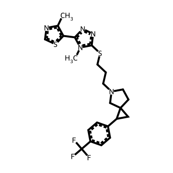 Cc1ncsc1-c1nnc(SCCCN2CCC3(CC3c3ccc(C(F)(F)F)cc3)C2)n1C